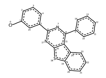 Clc1cccc(-c2nc(-c3ccccc3)c3c(n2)sc2ccccc23)c1